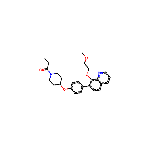 CCC(=O)N1CCC(Oc2ccc(-c3ccc4cccnc4c3OCCOC)cc2)CC1